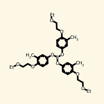 CCOCCOc1ccc(OB(Oc2ccc(OCCOCC)c(C)c2)Oc2ccc(OCCOCC)c(C)c2)cc1C